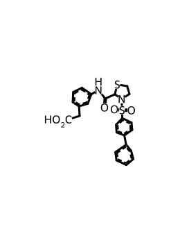 O=C(O)Cc1cccc(NC(=O)C2SCCN2S(=O)(=O)c2ccc(-c3ccccc3)cc2)c1